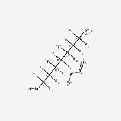 C=CCN.CCCCCC(F)(F)C(F)(F)C(F)(F)C(F)(F)C(F)(F)C(F)(F)C(F)(F)S(=O)(=O)O